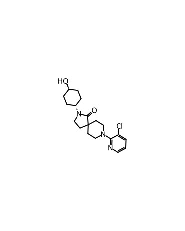 O=C1N([C@H]2CC[C@H](O)CC2)CCC12CCN(c1ncccc1Cl)CC2